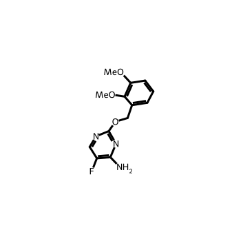 COc1cccc(COc2ncc(F)c(N)n2)c1OC